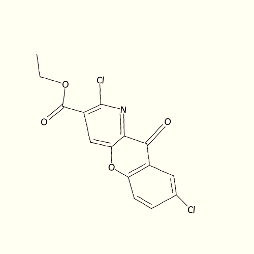 CCOC(=O)c1cc2oc3ccc(Cl)cc3c(=O)c2nc1Cl